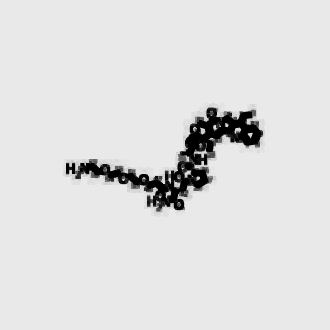 CCc1c2c(nc3ccccc13)-c1cc3c(c(=O)n1C2)COC(=O)[C@@]3(CC)OC(=O)[C@H](C)NC(=O)[C@@H]1CCCN1C(=O)C[C@H](NC(=O)CCOCCOCCOCCN)C(N)=O